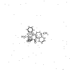 C[C@H]1CC[C@H]([C@H](O[Si](C)(C)C(C)(C)C)c2ccccc2)N(C(=O)OC(C)(C)C)C2CC=CCC21